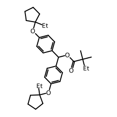 CCC1(Oc2ccc(C(OC(=O)C(C)(C)CC)c3ccc(OC4(CC)CCCC4)cc3)cc2)CCCC1